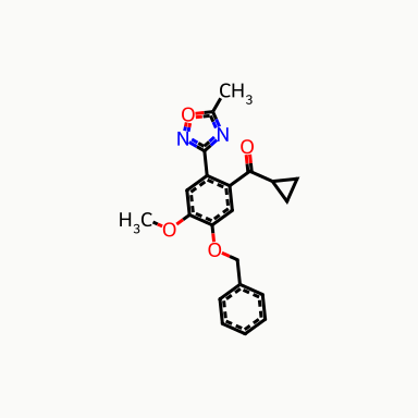 COc1cc(-c2noc(C)n2)c(C(=O)C2CC2)cc1OCc1ccccc1